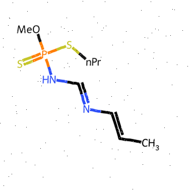 CC=CN=CNP(=S)(OC)SCCC